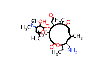 CC[C@H]1OC(=O)CC[C@H](C)[C@@H](OC2OC(C)CC(N(C)C)C2O)[C@@H](CC=O)C[C@@H](C)C(=O)/C=C/C(C)=C/[C@@H]1CN